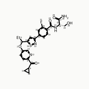 CCC(Oc1ccc(C(=O)C2CC2)nc1)c1cc(-c2ccc(C(=O)N[C@@H](CO)C(N)=O)c(F)c2)ns1